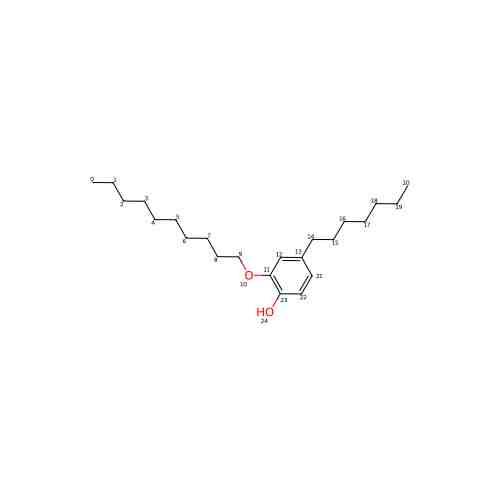 CCCCCCCCCCOc1cc(CCCCCCC)ccc1O